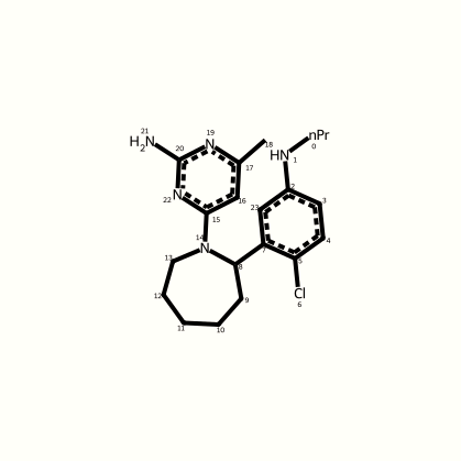 CCCNc1ccc(Cl)c(C2CCCCCN2c2cc(C)nc(N)n2)c1